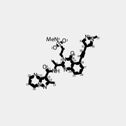 CNS(=O)(=O)CCn1c(C(C)NC(=O)c2c(C)nn3cccnc23)nc2cccc(C#Cc3cnn(C)c3)c2c1=O